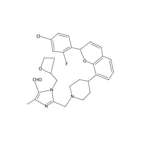 Cc1nc(CN2CCC(c3cccc4c3OC(c3ccc(Cl)cc3F)C=C4)CC2)n(CC2CCO2)c1C=O